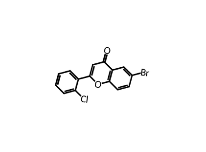 O=c1cc(-c2ccccc2Cl)oc2ccc(Br)cc12